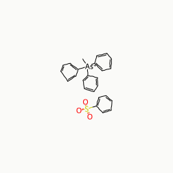 C[As+](c1ccccc1)(c1ccccc1)c1ccccc1.O=S(=O)([O-])c1ccccc1